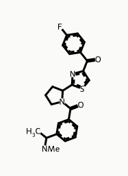 CNC(C)c1cccc(C(=O)N2CCCC2c2nc(C(=O)c3ccc(F)cc3)cs2)c1